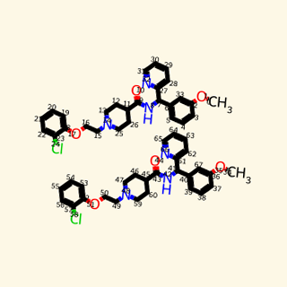 COc1cccc(C(NC(=O)C2CCN(CCOc3ccccc3Cl)CC2)c2ccccn2)c1.COc1cccc(C(NC(=O)C2CCN(CCOc3ccccc3Cl)CC2)c2ccccn2)c1